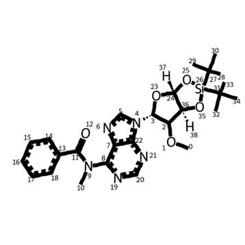 COC1[C@H](n2cnc3c(N(C)C(=O)c4ccccc4)ncnc32)O[C@@H]2O[Si](C(C)(C)C)(C(C)(C)C)O[C@@H]12